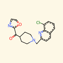 O=C(c1ncco1)C1CCN(Cc2ccc3cccc(Cl)c3n2)CC1